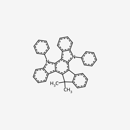 CC1(C)c2ccccc2-c2c1c1c3ccccc3n(-c3ccccc3)c1c1c3ccccc3n(-c3ccccc3)c21